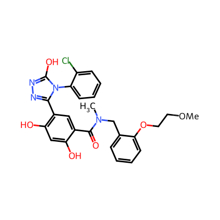 COCCOc1ccccc1CN(C)C(=O)c1cc(-c2nnc(O)n2-c2ccccc2Cl)c(O)cc1O